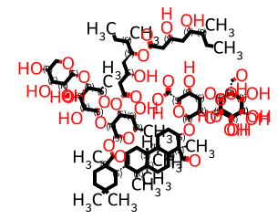 CC[C@H](C)[C@H](C[C@H](O)CC(=O)O[C@H]1[C@@H](O)[C@@H](C)O[C@@H](OC(=O)[C@]2(C)CCC(C)(C)C[C@H]2C2=CC[C@H]3[C@@](C)(CC[C@H]4[C@](C)(C=O)[C@@H](O[C@@H]5O[C@H](C(=O)O)[C@@H](O)[C@H](O[C@@H]6OC[C@@H](O)C(O)=C6O)[C@H]5O[C@@H]5O[C@H](CO)[C@H](O)[C@H](O)[C@H]5O)CC[C@]34C)[C@H]2C)[C@@H]1O[C@@H]1O[C@@H](C)[C@H](O[C@@H]2OC[C@@H](O)[C@H](O)[C@H]2O)[C@@H](O)[C@H]1O)OC(=O)C[C@@H](O)C[C@H](O)[C@@H](C)CC